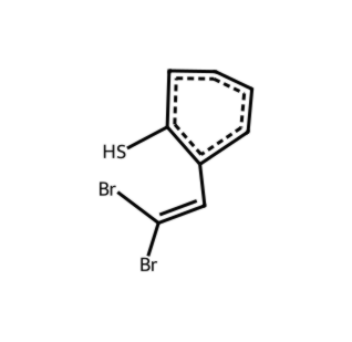 Sc1ccccc1C=C(Br)Br